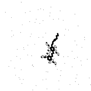 CCCCC#CCCCc1c(OC)c(OCOC)c(CCCc2c(OC)c(OCOC)cc(OC)c2OCOC)c(OC)c1OCOC